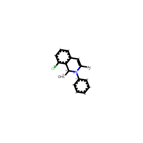 CC(=O)C1=Cc2cccc(Cl)c2C(C=O)N1c1ccccc1